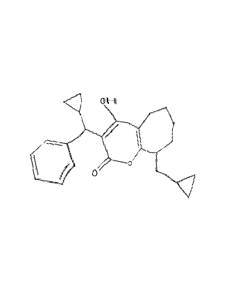 O=c1oc2c(c(O)c1C(c1ccccc1)C1CC1)CCCCC2CC1CC1